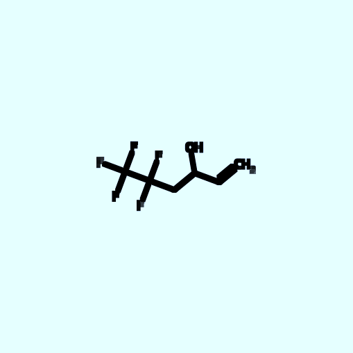 C=CC(O)CC(F)(F)C(F)(F)F